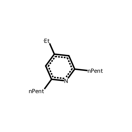 C[CH]c1cc(CCCCC)nc(CCCCC)c1